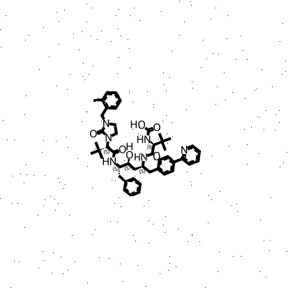 Cc1ccccc1CN1CCN([C@H](C(=O)N[C@@H](Cc2ccccc2)[C@@H](O)C[C@H](Cc2ccc(-c3ccccn3)cc2)NC(=O)[C@@H](NC(=O)O)C(C)(C)C)C(C)(C)C)C1=O